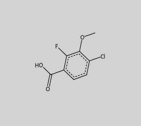 COc1c(Cl)ccc(C(=O)O)c1F